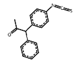 CC(=O)C(c1ccccc1)c1ccc(N=C=S)cc1